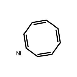 C1=CC=CC=CC=C1.[Ni]